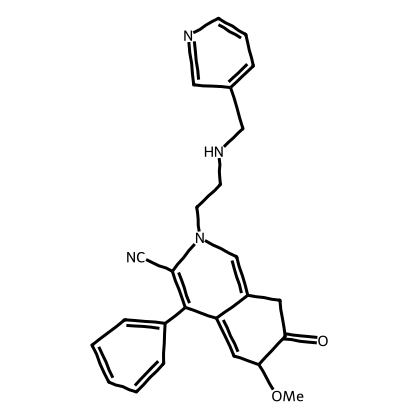 COC1C=C2C(=CN(CCNCc3cccnc3)C(C#N)=C2c2ccccc2)CC1=O